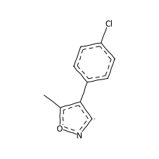 Cc1on[c]c1-c1ccc(Cl)cc1